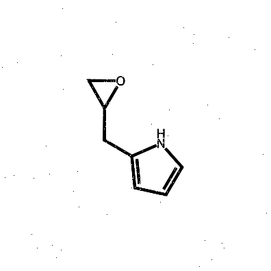 c1c[nH]c(CC2CO2)c1